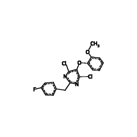 COc1ccccc1Oc1c(Cl)nc(Cc2ccc(F)cc2)nc1Cl